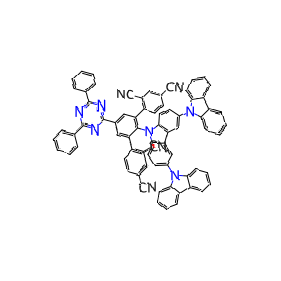 N#Cc1ccc(-c2cc(-c3nc(-c4ccccc4)nc(-c4ccccc4)n3)cc(-c3ccc(C#N)cc3C#N)c2-n2c3ccc(-n4c5ccccc5c5ccccc54)cc3c3cc(-n4c5ccccc5c5ccccc54)ccc32)c(C#N)c1